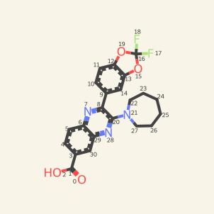 O=C(O)c1ccc2nc(-c3ccc4c(c3)OC(F)(F)O4)c(N3CCCCCC3)nc2c1